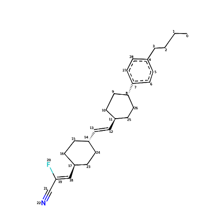 CCCCc1ccc([C@H]2CC[C@H](/C=C/[C@H]3CC[C@H](C=C(F)C#N)CC3)CC2)cc1